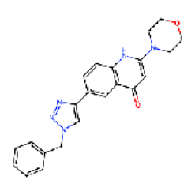 O=c1cc(N2CCOCC2)[nH]c2ccc(-c3cn(Cc4ccccc4)nn3)cc12